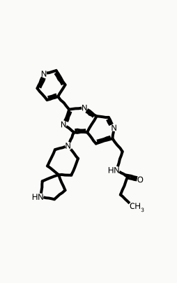 CCC(=O)NCc1cc2c(N3CCC4(CCNC4)CC3)nc(-c3ccncc3)nc2cn1